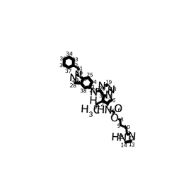 CCc1c(NC(=O)OCCCc2ncc[nH]2)cn2ncnc(Nc3ccc4c(cnn4Cc4ccccc4)c3)c12